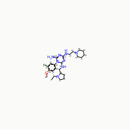 CCN1CCCC1CNC1N=C(NCCN2CCCCC2)N=C(N)N1c1ccc(OC)c(F)c1